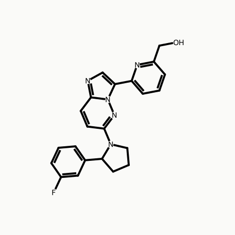 OCc1cccc(-c2cnc3ccc(N4CCCC4c4cccc(F)c4)nn23)n1